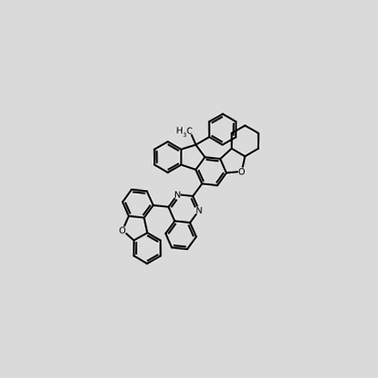 CC1(c2ccccc2)c2ccccc2-c2c(-c3nc(-c4cccc5oc6ccccc6c45)c4ccccc4n3)cc3c(c21)C1CCCCC1O3